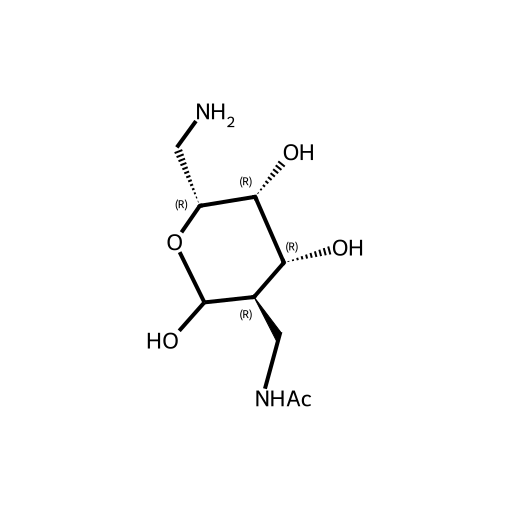 CC(=O)NC[C@H]1C(O)O[C@H](CN)[C@H](O)[C@@H]1O